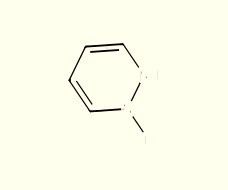 BrN1C=CC=CN1